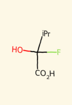 CC(C)C(O)(F)C(=O)O